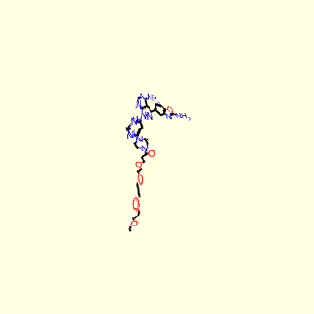 CCOCCOCCOCCOCCC(=O)N1CCN(c2cc(-n3nc(-c4ccc5oc(N)nc5c4)c4c(N)ncnc43)ncn2)CC1